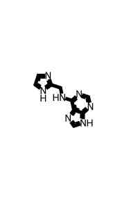 c1c[nH]c(CNc2ncnc3[nH]cnc23)n1